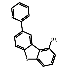 Cc1cccc2sc3ccc(-c4ccccn4)cc3c12